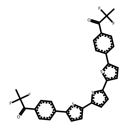 CC(F)(F)C(=O)c1ccc(-c2ccc(-c3ccc(-c4ccc(-c5ccc(C(=O)C(C)(F)F)cc5)s4)s3)s2)cc1